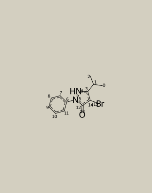 CC(C)c1[nH]n(-c2ccccc2)c(=O)c1Br